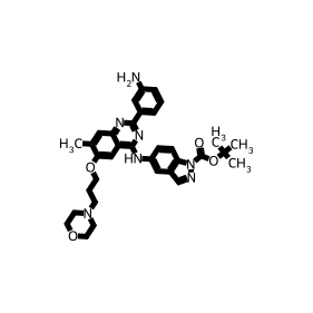 Cc1cc2nc(-c3cccc(N)c3)nc(Nc3ccc4c(cnn4C(=O)OC(C)(C)C)c3)c2cc1OCCCN1CCOCC1